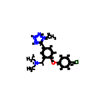 CN(C)Cc1cc(-c2nnnn2C)ccc1Oc1ccc(Cl)cc1